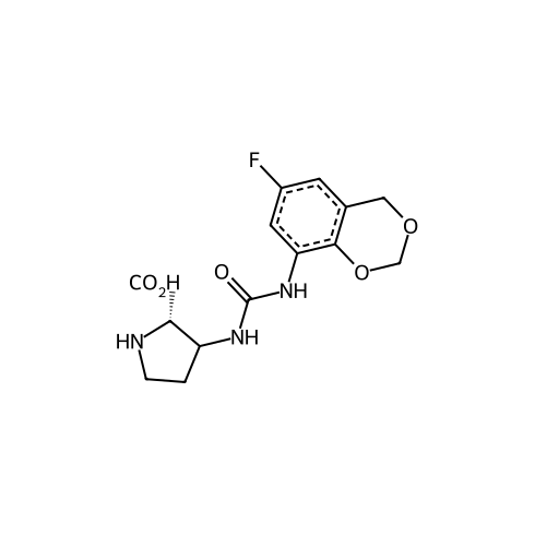 O=C(Nc1cc(F)cc2c1OCOC2)NC1CCN[C@@H]1C(=O)O